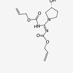 C=CCOC(=O)N=C(NC(=O)OCC=C)N1CC[C@@H](O)C1